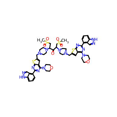 CS(=O)(=O)CC(C(=O)C(CS(C)(=O)=O)N1CCN(Cc2cc3c(N4CCOCC4)nc(-c4cccc5[nH]ncc45)nc3s2)CC1)N1CCN(Cc2cc3c(N4CCOCC4)nc(-c4cccc5[nH]ncc45)nc3s2)CC1